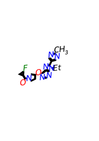 CCn1c(-c2cnc(C)nc2)nc2c(O[C@H]3CCN(C(=O)C4CC4F)C3)ncnc21